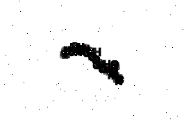 Cc1noc(C)c1-c1ccc2c(c1)nc(CCc1ccc(OCCNC(=O)CCOCCOCCNC(=O)CN3CCC(Nc4cc(C(=O)NC[C@H](O)CN5CCc6ccccc6C5)ncn4)CC3)cc1)n2CCN1CCOCC1